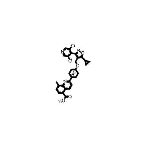 Cc1ccc(C(=O)O)c2ccc(C34CCC(OCc5c(-c6c(Cl)cncc6Cl)noc5C5CC5)(CC3)CC4)nc12